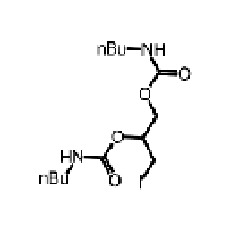 CCCCNC(=O)OCC(CI)OC(=O)NCCCC